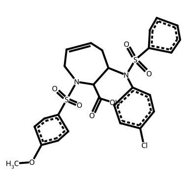 COc1ccc(S(=O)(=O)N2CC=CCC(N(c3ccc(Cl)cc3)S(=O)(=O)c3ccccc3)C2C(=O)O)cc1